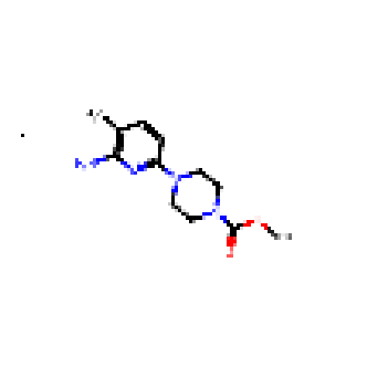 Cc1ccc(N2CCN(C(=O)OC(C)(C)C)CC2)nc1N